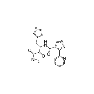 NC(=O)C(=O)C(Cc1ccsc1)NC(=O)c1csnc1-c1ccccn1